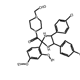 CCOc1ccc(C2(C(=O)N3CCN(CC=O)CC3)NC(c3ccc(Cl)cc3)C(c3ccc(Cl)cc3)N2)c(OC(C)C)c1